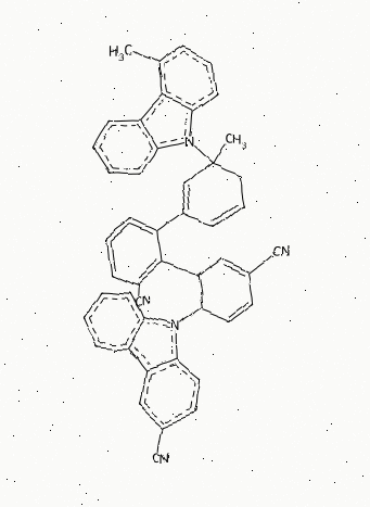 Cc1cccc2c1c1ccccc1n2C1(C)C=C(C2=C=C=CC(C#N)=C2C2C=C(C#N)C=CC2n2c3ccccc3c3cc(C#N)ccc32)C=CC1